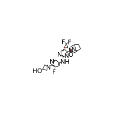 O=C([C@@H]1CC1(F)F)N1C2CCC1CN(c1ccnc(Nc3cnc(N4CC(O)C4)c(F)c3)n1)C2